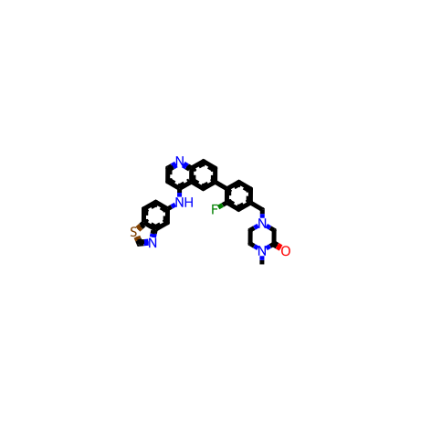 CN1CCN(Cc2ccc(-c3ccc4nccc(Nc5ccc6scnc6c5)c4c3)c(F)c2)CC1=O